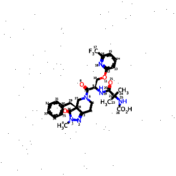 CN1N=C2CCN(C(=O)[C@@H](COc3cccc(C(F)(F)F)n3)NC(=O)C(C)(C)NC(=O)O)C[C@@]2(Cc2ccccc2)C1=O